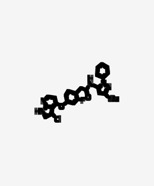 CC(C)(C)c1cc(NC(=O)Cc2ccc(Oc3ccnc4[nH]cc(Cl)c34)cc2F)n(-c2ccccc2)n1